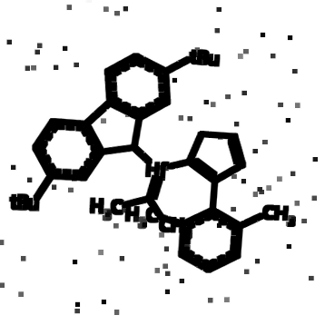 C[C](C)=[Hf]([C]1=C(c2c(C)cccc2C)C=CC1)[CH]1c2cc(C(C)(C)C)ccc2-c2ccc(C(C)(C)C)cc21